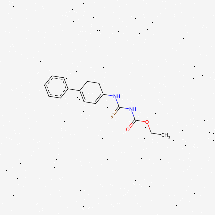 CCOC(=O)NC(=S)NC1=CC=C(c2ccccc2)CC1